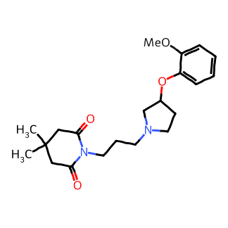 COc1ccccc1OC1CCN(CCCN2C(=O)CC(C)(C)CC2=O)C1